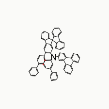 c1ccc(-c2ccc(-c3cc4c(cc3N(c3cccc(-c5ccccc5)c3)c3ccc5c6ccccc6c6ccccc6c5c3)C3(c5ccccc5-c5ccccc53)c3ccccc3-4)cc2)cc1